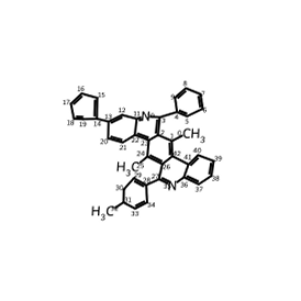 Cc1c2c(-c3ccccc3)nc3cc(-c4ccccc4)ccc3c2c(C)c2c(C3=CCC(C)C=C3)nc3ccccc3c12